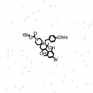 COc1ccc(CN2C3(CCN(C(=O)OC(C)(C)C)CC3)CC(O)=C(c3c(C)cc(Br)cc3C)C2(C)O)cc1